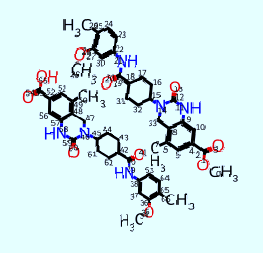 COC(=O)c1cc(C)c2c(c1)NC(=O)N(C1CCC(C(=O)Nc3ccc(C)c(OC)c3)CC1)C2.COc1cc(NC(=O)C2CCC(N3Cc4c(C)cc(C(=O)O)cc4NC3=O)CC2)ccc1C